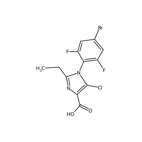 CCc1nc(C(=O)O)c(Cl)n1-c1c(F)cc(Br)cc1F